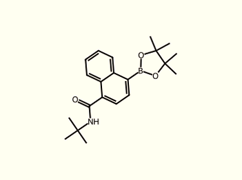 CC(C)(C)NC(=O)c1ccc(B2OC(C)(C)C(C)(C)O2)c2ccccc12